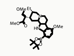 CC[C@@H]1CN2CCC3c4c(OC)ccc(B5OC(C)(C)C(C)(C)O5)c4NC3C2C[C@@H]1/C(=C\OC)C(=O)OC